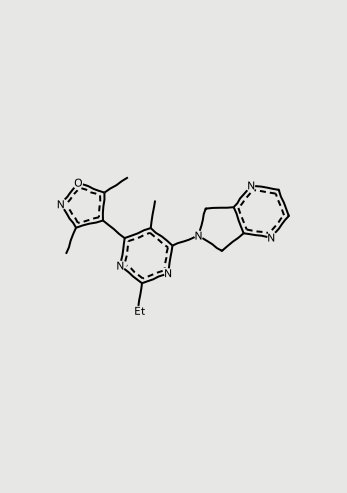 CCc1nc(-c2c(C)noc2C)c(C)c(N2Cc3nccnc3C2)n1